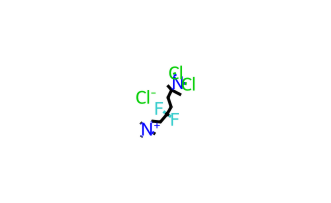 CC(C)(CCC(F)(F)CC[N+](C)(C)C)N(Cl)Cl.[Cl-]